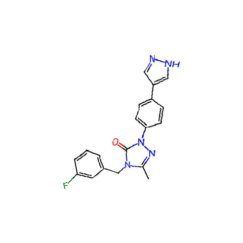 Cc1nn(-c2ccc(-c3cn[nH]c3)cc2)c(=O)n1Cc1cccc(F)c1